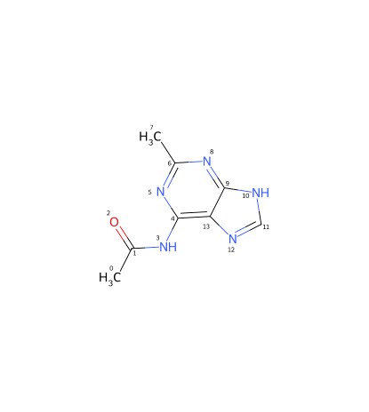 CC(=O)Nc1nc(C)nc2[nH]cnc12